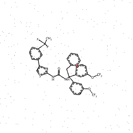 CC(F)(F)c1cccc(-c2csc(NC(=O)NC(Cc3ccccc3)(c3cccc(OC(F)(F)F)c3)c3cccc(OC(F)(F)F)c3)n2)c1